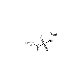 CCCC(C)NS(=O)(=O)NC(=O)O